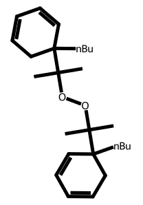 CCCCC1(C(C)(C)OOC(C)(C)C2(CCCC)C=CC=CC2)C=CC=CC1